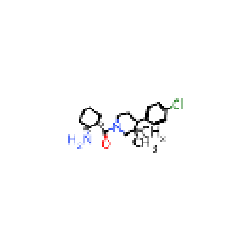 CC1(C)CN(C(=O)[C@H]2CCCC[C@H]2N)CCC1c1ccc(Cl)cc1